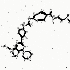 CCCn1nnc2c(N3CCOCC3)nc(-c3ccc(NC(=O)Nc4ccc(C(=O)NCCN(C)C)cc4)cc3)nc21